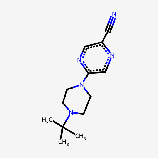 CC(C)(C)N1CCN(c2cnc(C#N)cn2)CC1